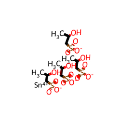 CC(O)CS(=O)(=O)[O-].CC(O)CS(=O)(=O)[O-].CC(O)CS(=O)(=O)[O-].CC(O)CS(=O)(=O)[O-].[Sn+4]